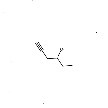 C#CCC([O])CC